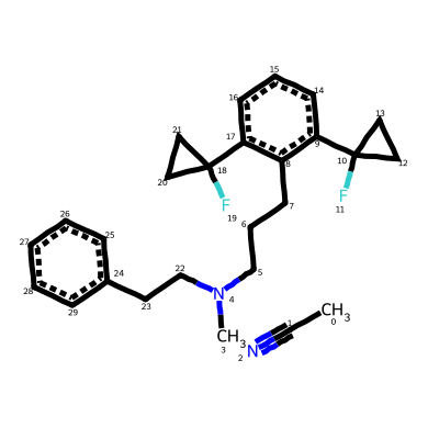 CC#N.CN(CCCc1c(C2(F)CC2)cccc1C1(F)CC1)CCc1ccccc1